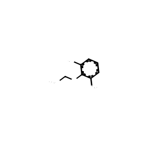 COCOc1c(C#N)cccc1SC